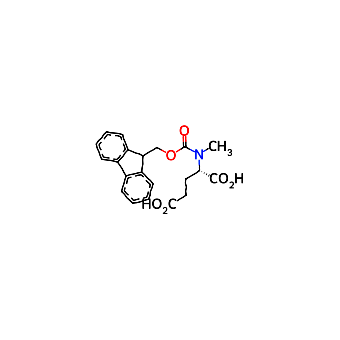 CN(C(=O)OCC1c2ccccc2-c2ccccc21)[C@@H](CCC(=O)O)C(=O)O